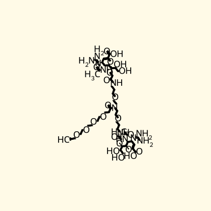 C#CCOCCOCCOCCOCCC(=O)N(CCOCCCNC(=O)CO[C@H]([C@H](O)CO)[C@@H]1OC(C(=O)O)=C[C@H](N=C(N)N)C1NC(C)=O)CCOCCCNC(=O)CO[C@@H]([C@@H]1OC(C(=O)O)=C[C@H](N=C(N)N)[C@H]1NC(C)=O)[C@H](O)CO